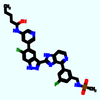 CCCCC(O)Nc1cncc(-c2cc3c(-c4nc5c(-c6cc(F)cc(CNS(C)(=O)=O)c6)nccc5[nH]4)n[nH]c3cc2F)c1